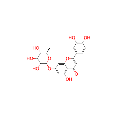 C[C@H]1O[C@@H](Oc2cc(O)c3c(=O)cc(-c4ccc(O)c(O)c4)oc3c2)[C@H](O)[C@@H](O)[C@@H]1O